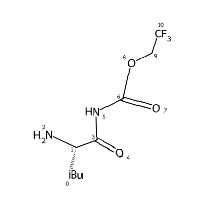 CCC(C)[C@H](N)C(=O)NC(=O)OCC(F)(F)F